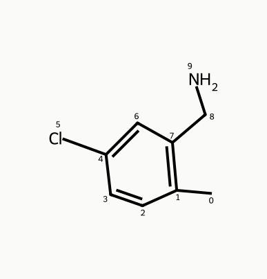 Cc1ccc(Cl)cc1CN